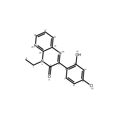 CCn1c(=O)c(-c2ccc(Cl)cc2O)nc2cccnc21